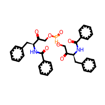 O=C(N[C@@H](Cc1ccccc1)C(=O)CO[PH](=O)OCC(=O)[C@H](Cc1ccccc1)NC(=O)c1ccccc1)c1ccccc1